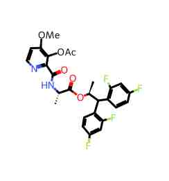 COc1ccnc(C(=O)N[C@@H](C)C(=O)O[C@@H](C)C(c2ccc(F)cc2F)c2ccc(F)cc2F)c1OC(C)=O